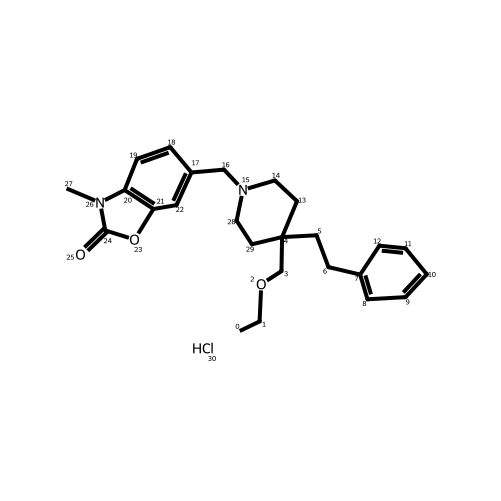 CCOCC1(CCc2ccccc2)CCN(Cc2ccc3c(c2)oc(=O)n3C)CC1.Cl